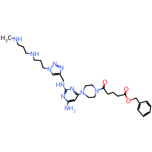 CNCCCNCCCn1cc(CNc2nc(N)cc(N3CCN(C(=O)CCCC(=O)OCc4ccccc4)CC3)n2)nn1